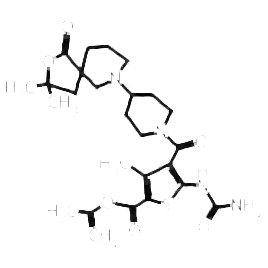 C=C(C)OC(=O)c1sc(NC(N)=O)c(C(=O)N2CCC(N3CCCC4(C3)CC(C)(C)OC4=O)CC2)c1C